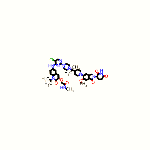 CNC(=O)COc1cc2cc(Nc3nc(N4CCN(C(C)(C)C5CCN(c6cc7c(cc6OC)C(=O)N(C6CCC(=O)NC6=O)C7)CC5)CC4)ncc3Cl)ccc2n(C(C)C)c1=O